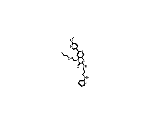 CCCOCCn1c(=O)c(NCCCNc2ccccn2)nc2cnc(-c3ccc(OC)nc3)cc21